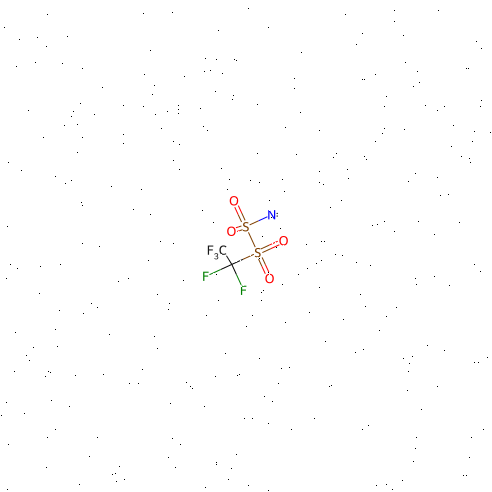 [N]S(=O)(=O)S(=O)(=O)C(F)(F)C(F)(F)F